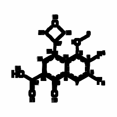 COc1c(F)c(F)cc2c(=O)c(C(=O)O)cn(C3COC3)c12